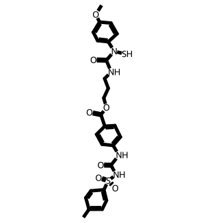 COc1ccc(N(S)C(=O)NCCCOC(=O)c2ccc(NC(=O)NS(=O)(=O)c3ccc(C)cc3)cc2)cc1